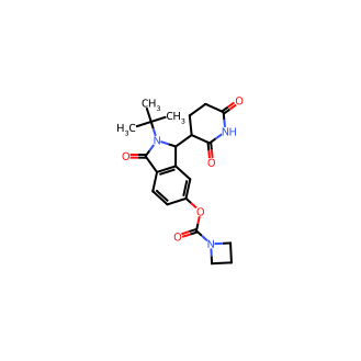 CC(C)(C)N1C(=O)c2ccc(OC(=O)N3CCC3)cc2C1C1CCC(=O)NC1=O